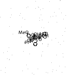 COc1ccc(S(=O)(=O)N(CC(C)C)C[C@@H](OP(=O)(O)O)[C@H](Cc2ccccc2)NC(=O)O[C@H]2CO[C@H]3OCC[C@H]32)cc1